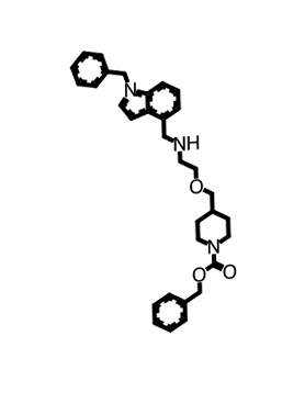 O=C(OCc1ccccc1)N1CCC(COCCNCc2cccc3c2ccn3Cc2ccccc2)CC1